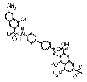 CS(=O)(=O)c1cc(N)c2c(O)c(/N=N/c3ccc(-c4ccc(/N=N/c5c(S(=O)(=O)O)cc6ccc(N)cc6c5O)cc4)cc3)c(S(=O)(=O)O)cc2c1